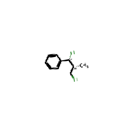 C[C@H](CCl)[C@@H](Cl)c1ccccc1